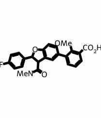 CNC(=O)C1c2cc(-c3cccc(C(=O)O)c3OC)ccc2OC1c1ccc(F)cc1